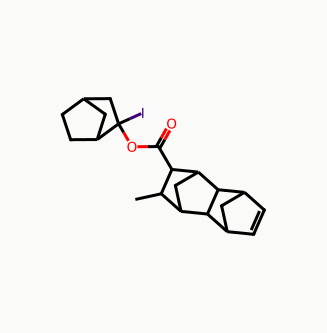 CC1C2CC(C1C(=O)OC1(I)CC3CCC1C3)C1C3C=CC(C3)C21